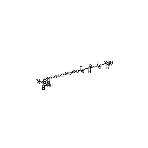 CCOC(=O)CCn1c2ccc(CNCCOCCOCCOCCOCCOCCOCCOCCOCCNC(=O)CCCCCNC(=O)CCCCCNC(=O)CCCC[C@@H]3SC[C@@H]4NC(=O)N[C@@H]43)cc2c2c3c(c4c(c21)Cc1ccccc1-4)CNC3=O